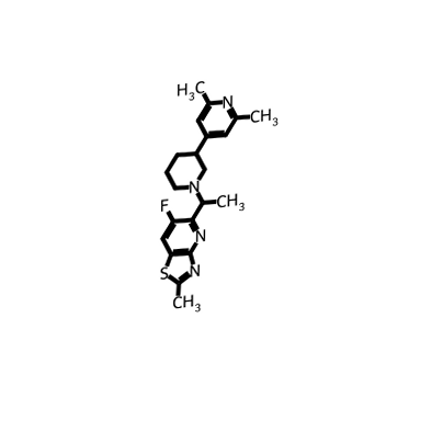 Cc1cc(C2CCCN(C(C)c3nc4nc(C)sc4cc3F)C2)cc(C)n1